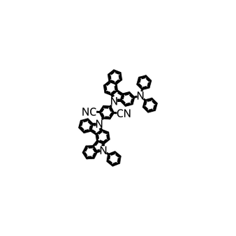 N#Cc1cc(-n2c3ccccc3c3c4c5ccccc5n(-c5ccccc5)c4ccc32)c(C#N)cc1-n1c2ccc(N(c3ccccc3)c3ccccc3)cc2c2c3ccccc3ccc21